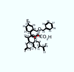 C=C(F)CC(/C(=C/C)N(CC(C)C(=C)F)[S+](C)[O-])=C(C)/C(=C/CC(=O)O)c1ccc(F)cc1COCc1ccccc1